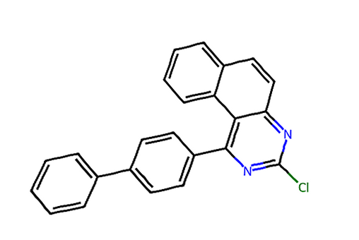 Clc1nc(-c2ccc(-c3ccccc3)cc2)c2c(ccc3ccccc32)n1